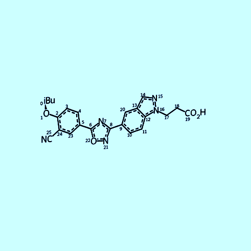 CC[C@H](C)Oc1ccc(-c2nc(-c3ccc4c(cnn4CCC(=O)O)c3)no2)cc1C#N